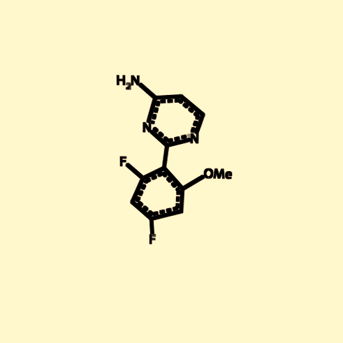 COc1cc(F)cc(F)c1-c1nccc(N)n1